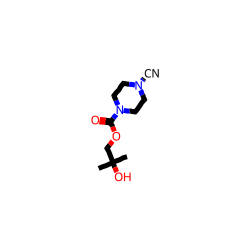 CC(C)(O)COC(=O)N1CCN(C#N)CC1